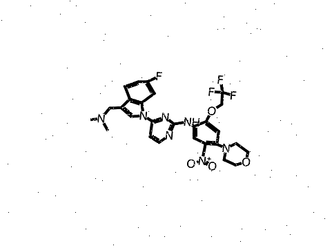 CN(C)Cc1cn(-c2ccnc(Nc3cc([N+](=O)[O-])c(N4CCOCC4)cc3OCC(F)(F)F)n2)c2cc(F)ccc12